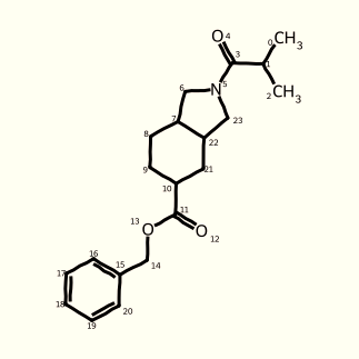 CC(C)C(=O)N1CC2CCC(C(=O)OCc3ccccc3)CC2C1